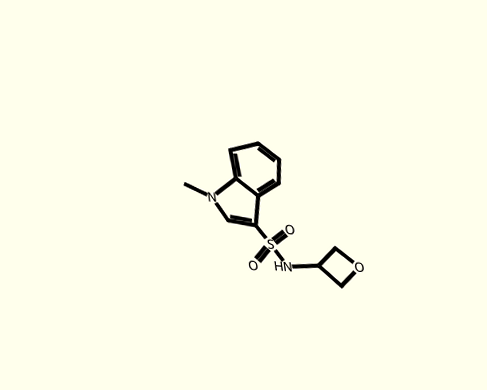 Cn1cc(S(=O)(=O)NC2COC2)c2ccccc21